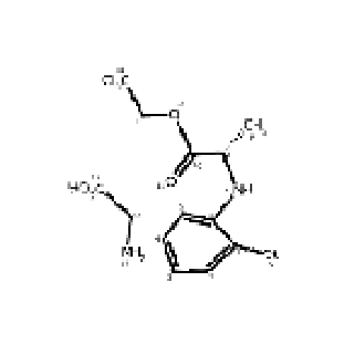 CCc1ccccc1N[C@@H](C)C(=O)OCC(Cl)(Cl)Cl.NCC(=O)O